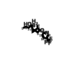 BC(O)(CCC)C1CC12CC(Oc1ccc(C(F)(F)F)cn1)C2C